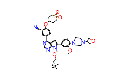 COc1cc(-c2cc3c(-c4ccc(OC5CCS(=O)(=O)CC5)c(C#N)c4)ncnc3n2COCC[Si](C)(C)C)ccc1N1CCN(C2COC2)CC1